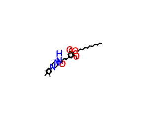 CCCCCCCCCCCOc1c(OC)cc(C=CC(=O)NN2CCN(c3ccc(C)c(C)c3)CC2)cc1OC